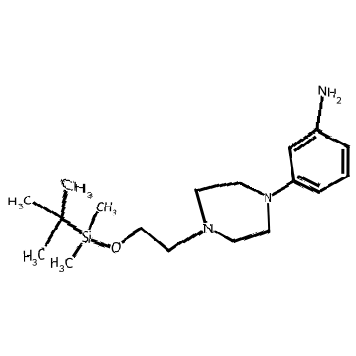 CC(C)(C)[Si](C)(C)OCCN1CCN(c2cccc(N)c2)CC1